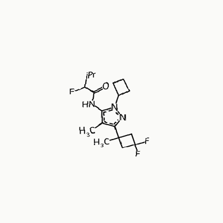 Cc1c(C2(C)CC(F)(F)C2)nn(C2CCC2)c1NC(=O)C(F)C(C)C